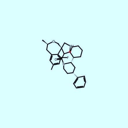 Cc1cc(F)c2c(c1)C[C@@H](C)OC[C@]21CNCC1C(=O)N1CC[C@@H](c2ccccc2)C[C@H]1C1CCCCC1